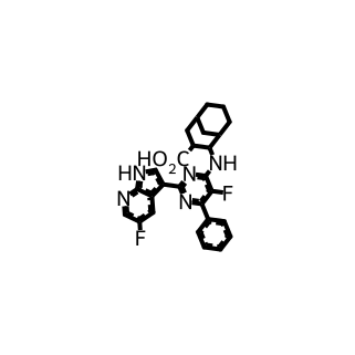 O=C(O)C1CC2CCCC(C2)C1Nc1nc(-c2c[nH]c3ncc(F)cc23)nc(-c2ccccc2)c1F